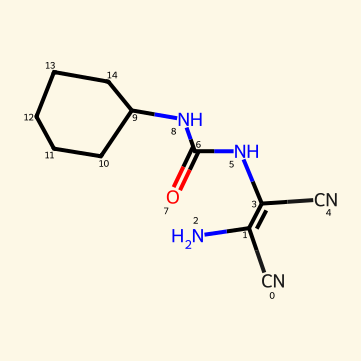 N#CC(N)=C(C#N)NC(=O)NC1CCCCC1